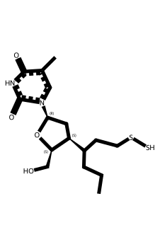 CCCC(CCSS)[C@@H]1C[C@H](n2cc(C)c(=O)[nH]c2=O)O[C@@H]1CO